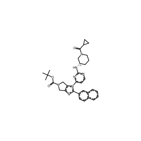 CC(C)(C)OC(=O)N1Cc2nc(-c3ccc4ccccc4c3)n(-c3ccnc(N[C@H]4CCCN(C(=O)C5CC5)C4)n3)c2C1